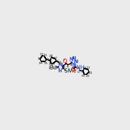 CCC(C)c1nc(SC)c(C(=O)Cc2nnnn2C(=O)NCc2ccccc2)n1Cc1ccc(-c2ccccc2)cc1